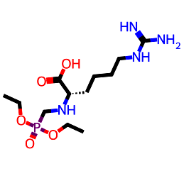 CCOP(=O)(CN[C@@H](CCCCNC(=N)N)C(=O)O)OCC